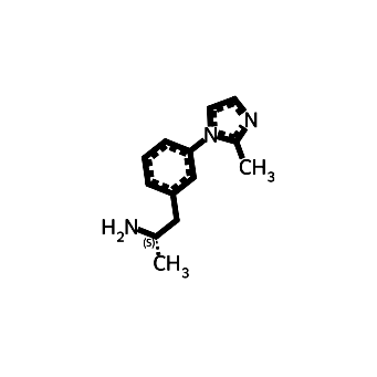 Cc1nccn1-c1cccc(C[C@H](C)N)c1